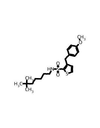 COc1ccc(Cc2ccsc2S(=O)(=O)NCCCC[CH]C(C)(C)C)cc1